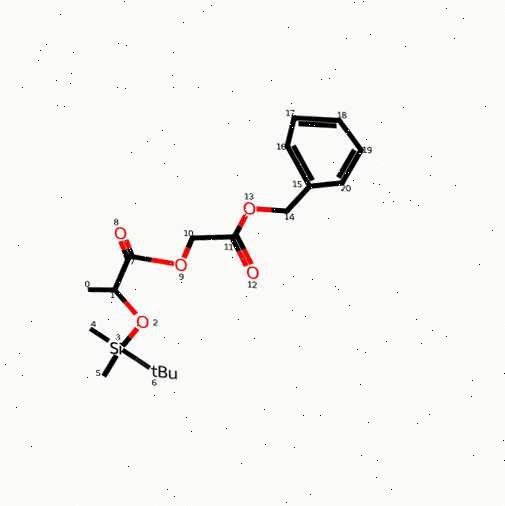 CC(O[Si](C)(C)C(C)(C)C)C(=O)OCC(=O)OCc1ccccc1